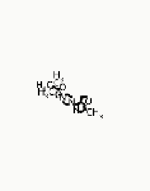 Cc1cnc(N2CCN(OC(=O)C(C)(C)C)CC2)c2ccoc12